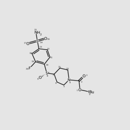 CC(C)(C)OC(=O)N1CCC([S@+]([O-])c2ccc(S(N)(=O)=O)cc2F)CC1